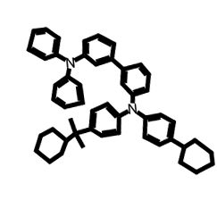 CC(C)(c1ccc(N(c2ccc(C3CCCCC3)cc2)c2cccc(-c3cccc(N(c4ccccc4)c4ccccc4)c3)c2)cc1)C1CCCCC1